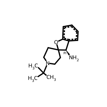 CC(C)(C)N1CCC2(CC1)Oc1ccccc1[C@H]2N